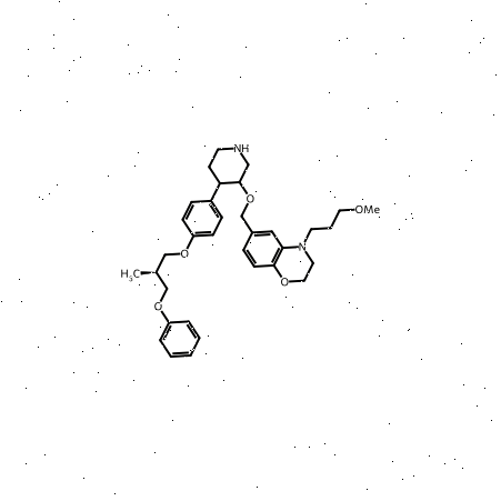 COCCCN1CCOc2ccc(COC3CNCCC3c3ccc(OC[C@H](C)COc4ccccc4)cc3)cc21